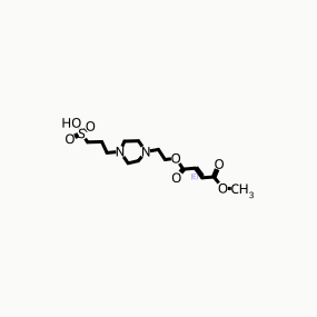 COC(=O)/C=C/C(=O)OCCN1CCN(CCCS(=O)(=O)O)CC1